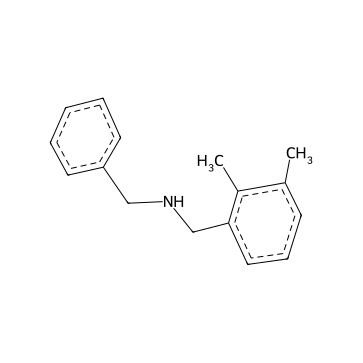 Cc1cccc(CNCc2ccccc2)c1C